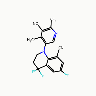 Cc1c(N2CCC(F)(F)c3cc(F)cc(C#N)c32)cnc(C(F)(F)F)c1C#N